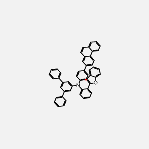 c1ccc(-c2cc(-c3ccccc3)cc(N(c3ccc(-c4ccc5c(ccc6ccccc65)c4)cc3)c3ccccc3-c3cc4ccccc4o3)c2)cc1